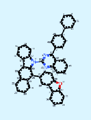 c1ccc(-c2ccc(-c3nc(-n4c5ccccc5c5cc6ccccc6c(-c6ccc7oc8ccccc8c7c6)c54)nc4ccccc34)cc2)cc1